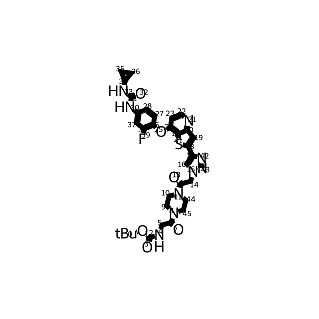 CC(C)(C)OC(=O)NCC(=O)N1CCN(C(=O)Cn2cc(-c3cc4nccc(Oc5ccc(NC(=O)NC6CC6)cc5F)c4s3)nn2)CC1